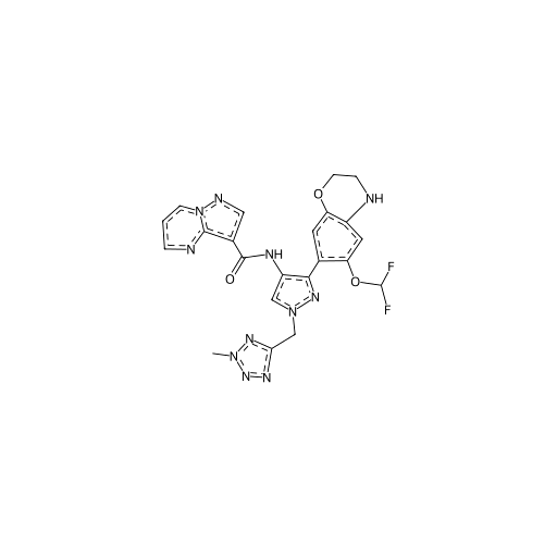 Cn1nnc(Cn2cc(NC(=O)c3cnn4cccnc34)c(-c3cc4c(cc3OC(F)F)NCCO4)n2)n1